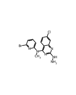 CN(c1cccc(Br)n1)c1nc(NN)nc2cc(Cl)ccc12